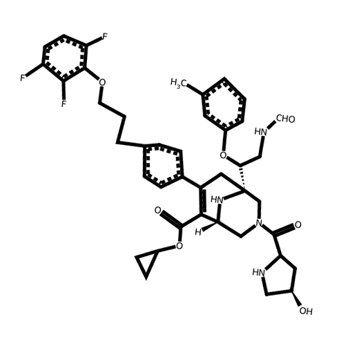 Cc1cccc(OC(CNC=O)[C@]23CC(c4ccc(CCCOc5c(F)ccc(F)c5F)cc4)=C(C(=O)OC4CC4)[C@@H](CN(C(=O)C4C[C@@H](O)CN4)C2)N3)c1